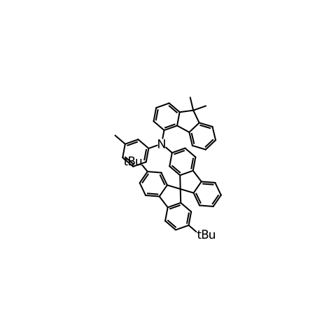 Cc1cccc(N(c2ccc3c(c2)C2(c4ccccc4-3)c3cc(C(C)(C)C)ccc3-c3ccc(C(C)(C)C)cc32)c2cccc3c2-c2ccccc2C3(C)C)c1